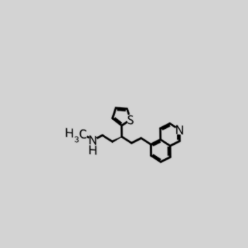 CNCC[C@H](CCc1cccc2cnccc12)c1cccs1